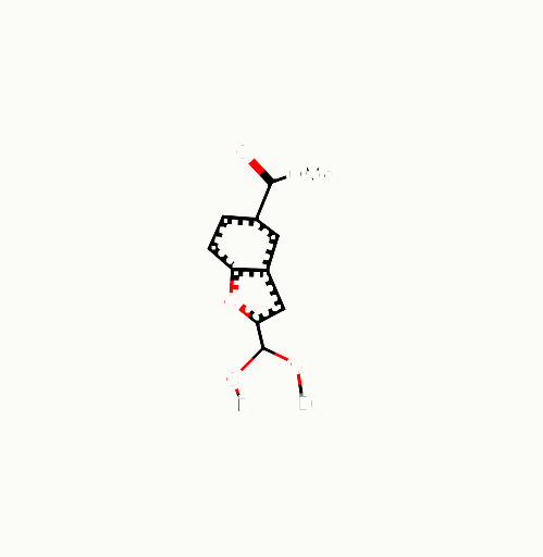 CCOC(OCC)c1cc2cc(C(=O)OC)ccc2o1